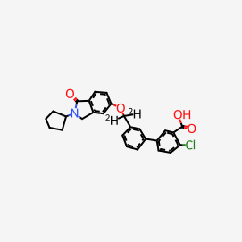 [2H]C([2H])(Oc1ccc2c(c1)CN(C1CCCC1)C2=O)c1cccc(-c2ccc(Cl)c(C(=O)O)c2)c1